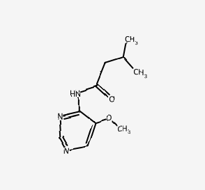 COc1cncnc1NC(=O)CC(C)C